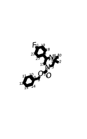 CC1(C)CN(C(=O)OCc2ccccc2)CC(c2ccc(F)cc2)N1